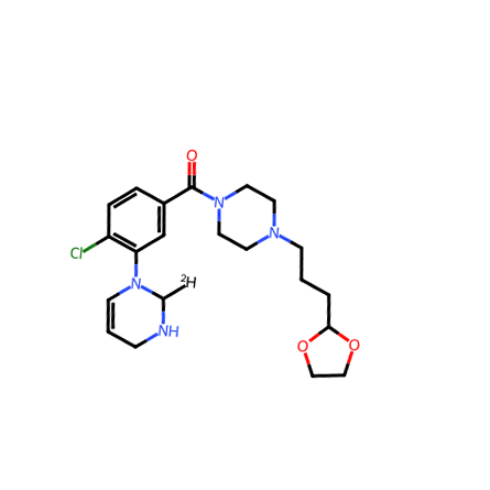 [2H]C1NCC=CN1c1cc(C(=O)N2CCN(CCCC3OCCO3)CC2)ccc1Cl